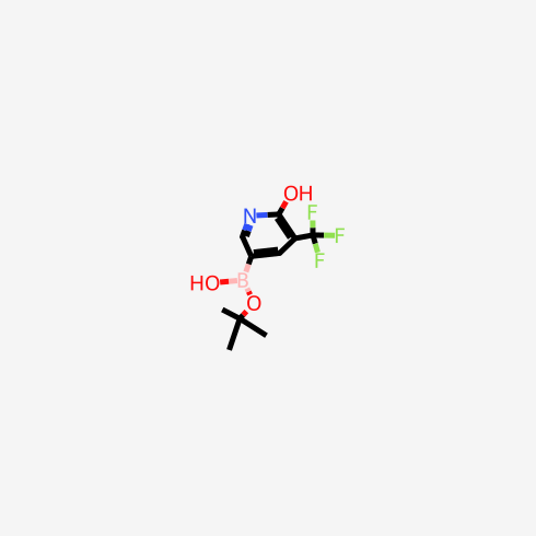 CC(C)(C)OB(O)c1cnc(O)c(C(F)(F)F)c1